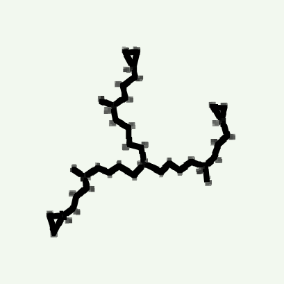 CN(CCCCN(CCCCN(C)CCCN1CC1)CCCCN(C)CCCN1CC1)CCCN1CC1